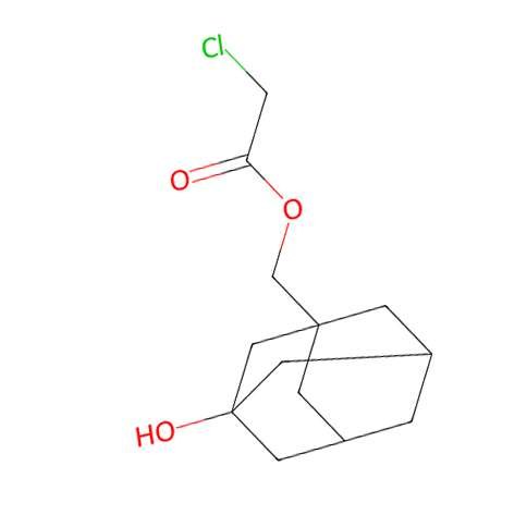 O=C(CCl)OCC12CC3CC(CC(O)(C3)C1)C2